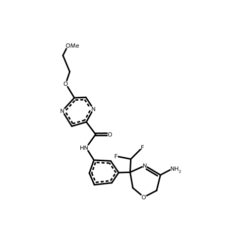 COCCOc1cnc(C(=O)Nc2cccc(C3(C(F)F)COCC(N)=N3)c2)cn1